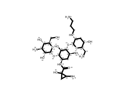 NCCCN[C@@H]1C[C@H](O)[C@@H](CN)O[C@@H]1O[C@H]1[C@H](O)[C@@H](O[C@H]2O[C@H](CO)[C@@H](O)[C@H](N)[C@H]2O)[C@H](NC(=O)C2(O)CC2N)C[C@@H]1N